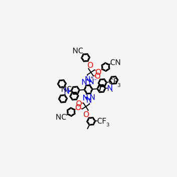 Cc1cc(OCC(COc2ccc(C#N)cc2)(COc2ccc(C#N)cc2)Cn2nc3c(-c4ccc(N(c5ccccc5)c5ccccc5)cc4)c4n[n+](CC(COc5ccc(C#N)cc5)(COc5ccc(C#N)cc5)COc5cc(C)cc(C(F)(F)F)c5)[n-]c4c(-c4ccc(N(C)c5ccccc5)cc4)c3n2)cc(C(F)(F)F)c1